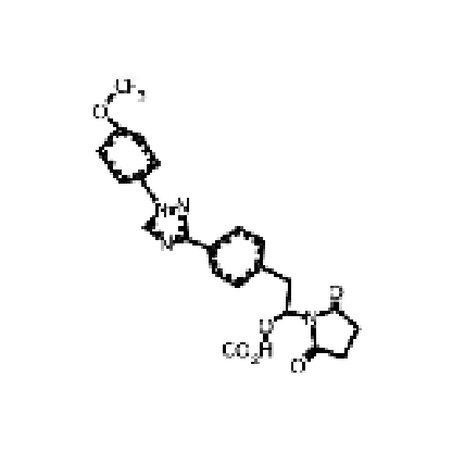 O=C(O)OC(Cc1ccc(-c2ncn(-c3ccc(OC(F)(F)F)cc3)n2)cc1)N1C(=O)CCC1=O